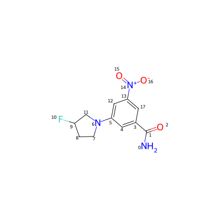 NC(=O)c1cc(N2CCC(F)C2)cc([N+](=O)[O-])c1